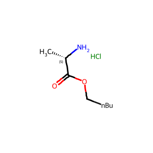 CCCCCOC(=O)[C@H](C)N.Cl